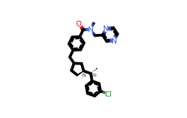 C[C@H](c1cccc(Cl)c1)[C@H]1CCC(Cc2ccc(C(=O)N(C)Cc3cnccn3)cc2)C1